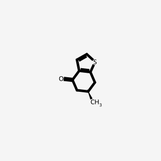 C[C@H]1CC(=O)c2ccsc2C1